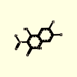 O=c1[nH]c2cc(Cl)c(Cl)cc2c(O)c1[N+](=O)[O-]